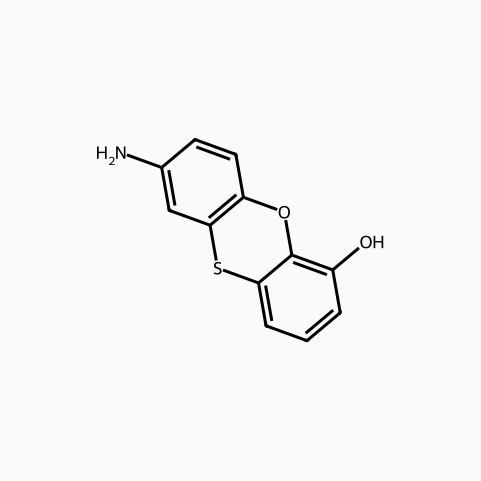 Nc1ccc2c(c1)Sc1cccc(O)c1O2